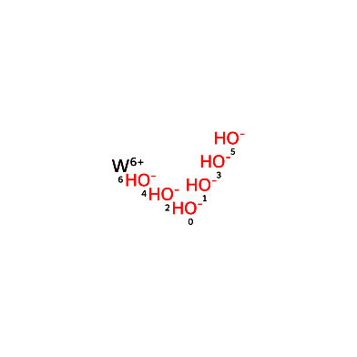 [OH-].[OH-].[OH-].[OH-].[OH-].[OH-].[W+6]